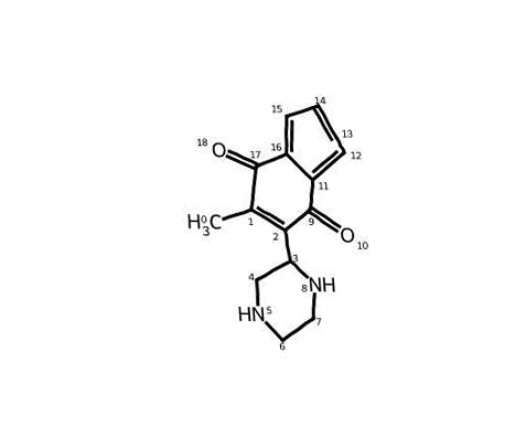 CC1=C(C2CNCCN2)C(=O)c2ccccc2C1=O